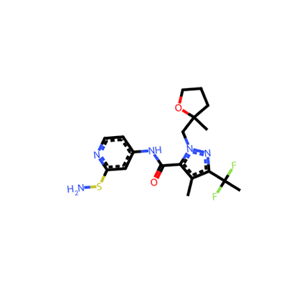 Cc1c(C(C)(F)F)nn(CC2(C)CCCO2)c1C(=O)Nc1ccnc(SN)c1